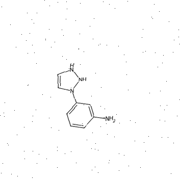 Nc1cccc(N2C=CNN2)c1